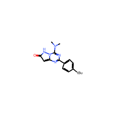 CN(C)c1nc(-c2ccc(C(C)(C)C)cc2)nc2cc(=O)[nH]n12